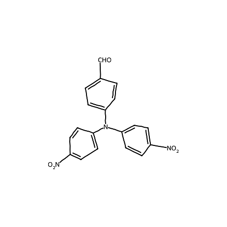 O=Cc1ccc(N(c2ccc([N+](=O)[O-])cc2)c2ccc([N+](=O)[O-])cc2)cc1